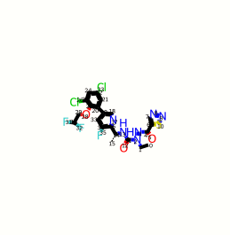 CCN(NC(=O)c1cnns1)C(=O)N[C@H](C)c1ncc(-c2cc(Cl)cc(Cl)c2OCC(F)F)cc1F